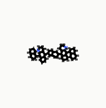 c1ccc2c(-c3c4ccccc4c(-c4ccc5cc(-c6c7ccccc7c(-c7cccc8ccccc78)c7ncccc67)ccc5c4)c4cccnc34)cccc2c1